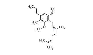 CCCc1cc(P=O)c(C/C=C(\C)CCC=C(C)C)c(OP)c1C